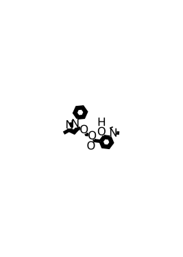 Cc1cc(OCOC(=O)c2cccc(N(C)C)c2O)n(-c2ccccc2)n1